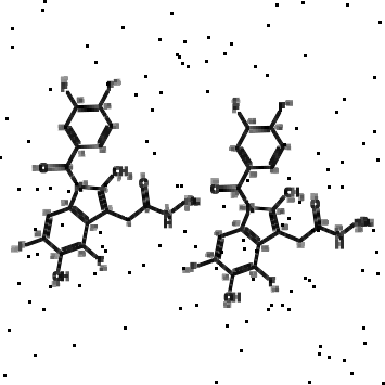 CCC(C)NC(=O)Cc1c(C)n(C(=O)c2ccc(F)c(F)c2)c2cc(F)c(O)c(F)c12.CCCCNC(=O)Cc1c(C)n(C(=O)c2ccc(F)c(F)c2)c2cc(F)c(O)c(F)c12